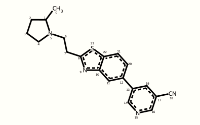 CC1CCCN1CCc1nc2cc(-c3cncc(C#N)c3)ccc2s1